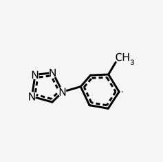 Cc1[c]ccc(-n2cnnn2)c1